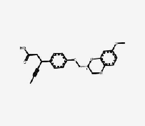 CC#CC(CC(=O)O)c1ccc(OC[C@H]2COc3ccc(OC)cc3O2)cc1